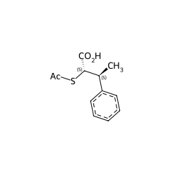 CC(=O)S[C@H](C(=O)O)[C@@H](C)c1ccccc1